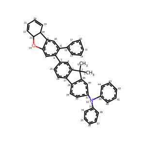 CC1(C)c2cc(-c3cc4c(cc3-c3ccccc3)C3C=CC=CC3O4)ccc2-c2ccc(N(c3ccccc3)c3ccccc3)cc21